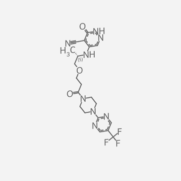 C[C@@H](COCCC(=O)N1CCN(c2ncc(C(F)(F)F)cn2)CC1)Nc1cn[nH]c(=O)c1C#N